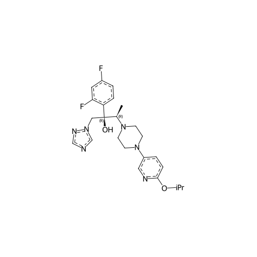 CC(C)Oc1ccc(N2CCN([C@H](C)[C@](O)(Cn3cncn3)c3ccc(F)cc3F)CC2)cn1